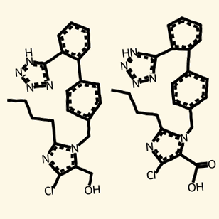 CCCCc1nc(Cl)c(C(=O)O)n1Cc1ccc(-c2ccccc2-c2nnn[nH]2)cc1.CCCCc1nc(Cl)c(CO)n1Cc1ccc(-c2ccccc2-c2nnn[nH]2)cc1